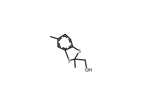 Cc1ccc2c(c1)SC(C)(CO)S2